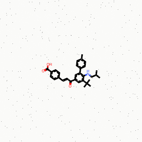 Cc1ccc(-c2cc(C(=O)C=Cc3ccc(C(=O)O)cc3)cc(C(C)(C)C)c2NCC(C)C)cc1